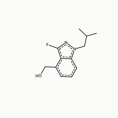 CC(C)Cn1nc(F)c2c(CO)cccc21